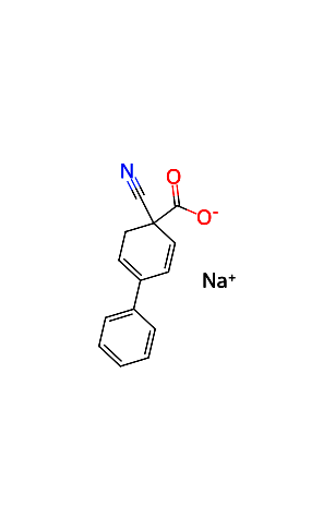 N#CC1(C(=O)[O-])C=CC(c2ccccc2)=CC1.[Na+]